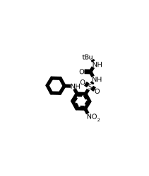 CC(C)(C)NC(=O)NS(=O)(=O)c1cc([N+](=O)[O-])ccc1NC1CCCCC1